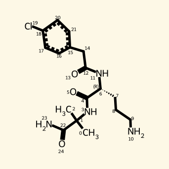 CC(C)(NC(=O)[C@@H](CCCN)NC(=O)Cc1ccc(Cl)cc1)C(N)=O